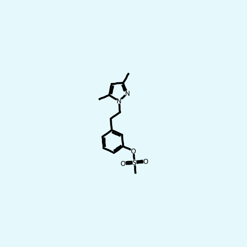 Cc1cc(C)n(CCc2cccc(OS(C)(=O)=O)c2)n1